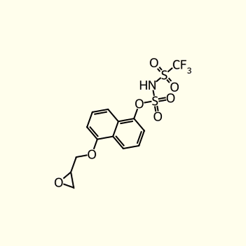 O=S(=O)(NS(=O)(=O)C(F)(F)F)Oc1cccc2c(OCC3CO3)cccc12